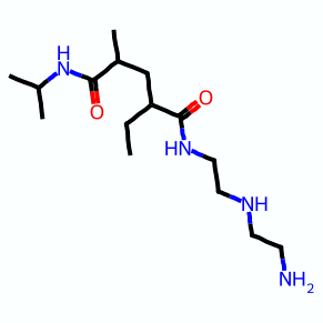 CCC(CC(C)C(=O)NC(C)C)C(=O)NCCNCCN